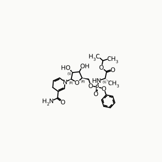 CC(C)OC(=O)[C@H](C)NP(=O)(OC[C@H]1O[C@@H](N2C=CCC(C(N)=O)=C2)[C@@H](O)C1O)Oc1ccccc1